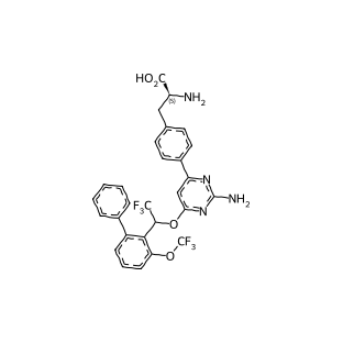 Nc1nc(OC(c2c(OC(F)(F)F)cccc2-c2ccccc2)C(F)(F)F)cc(-c2ccc(C[C@H](N)C(=O)O)cc2)n1